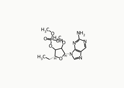 CC[C@H]1O[C@@H](n2cnc3cnc(N)nc32)C(OC)C1OP(=O)(O)OC